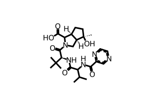 CC(C)C(NC(=O)c1cnccn1)C(=O)N[C@H](C(=O)N1C[C@H]2[C@H](CC[C@@]2(C)O)C1C(=O)O)C(C)(C)C